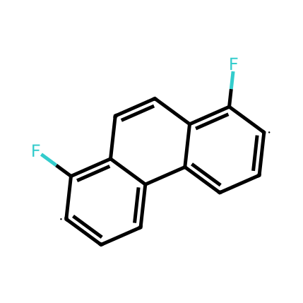 Fc1[c]ccc2c1ccc1c(F)[c]ccc12